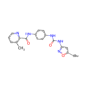 Cc1cccnc1C(=O)Nc1ccc(NC(=O)Nc2cc(C(C)(C)C)on2)cc1